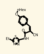 CCCCCCOc1ccc(C=C(C#N)C(=O)Nc2nnc(CC)s2)cc1